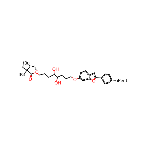 CCCCCc1ccc(-c2cc3ccc(OCCCC(O)C(O)CCCOC(=O)C(C)(CC(C)(C)C)C(C)(C)C)cc3o2)cc1